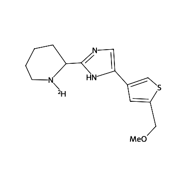 [2H]N1CCCCC1c1ncc(-c2csc(COC)c2)[nH]1